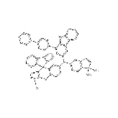 CC1(C)C=Cc2cc(N(c3ccc4c(c3)C3(c5ccccc5-c5ccccc53)c3cccc(Cl)c3S4)c3cc(-c4ccc(-c5ccccc5)cc4)c4sc5ccccc5c4c3)ccc21